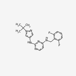 CC(C)(C)n1cc(Nc2nccc(NCc3c(F)cccc3F)n2)cn1